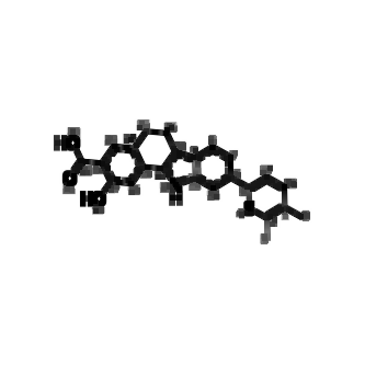 CC1=C(C)SC(c2ccc3c4c([nH]c3c2)-c2cc(O)c(C(=O)O)cc2CC4)=C=C1